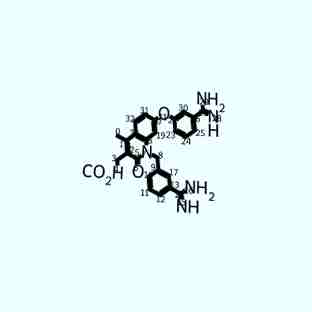 Cc1c(CC(=O)O)c(=O)n(Cc2cccc(C(=N)N)c2)c2cc(Oc3cccc(C(=N)N)c3)ccc12